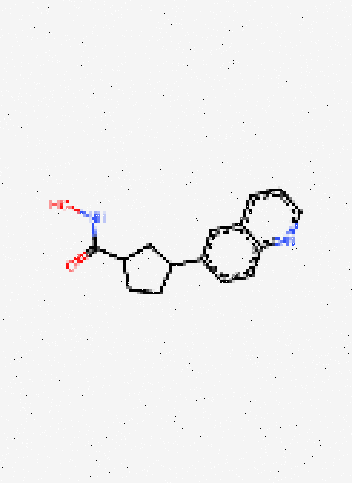 O=C(NO)C1CCC(c2ccc3ncccc3c2)C1